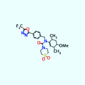 COC1CC(C)C(N(Cc2ccc(-c3nnc(C(F)(F)F)o3)cc2)C(=O)N2CCS(=O)(=O)CC2)=CC1C